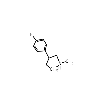 CCC(CN(C)C)c1ccc(F)cc1